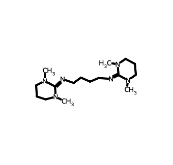 CN1CCCN(C)C1=NCCCCN=C1N(C)CCCN1C